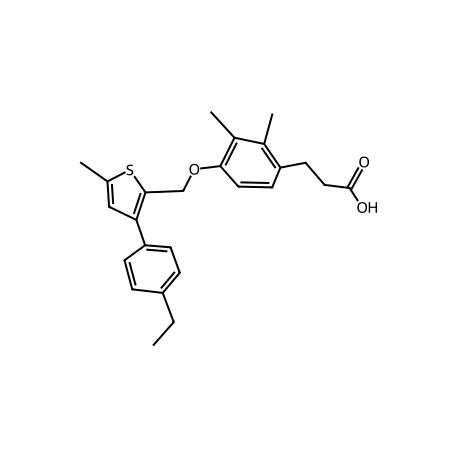 CCc1ccc(-c2cc(C)sc2COc2ccc(CCC(=O)O)c(C)c2C)cc1